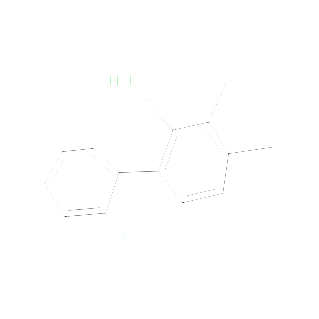 Cc1ccc(-c2ccccc2F)c(F)c1C.Cl